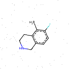 Bc1c(F)ccc2c1CCNC2